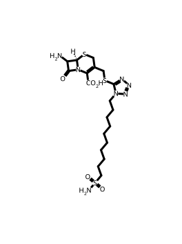 NC1C(=O)N2C(C(=O)O)=C(CSc3nnnn3CCCCCCCCCCS(N)(=O)=O)CS[C@H]12